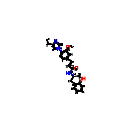 CCc1cn(-c2ccc(C=CC(=O)N[C@H](CO)Cc3ccccc3)cc2OC)cn1